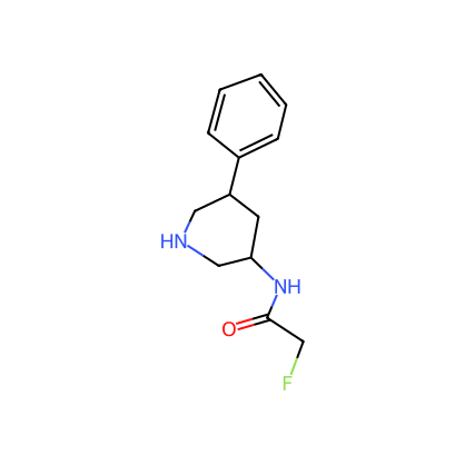 O=C(CF)NC1CNCC(c2ccccc2)C1